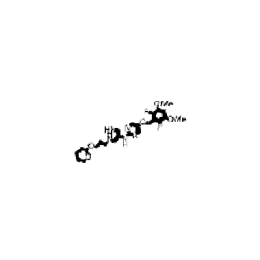 COc1cc(OC)c(F)c(COc2cnc(N/C(C=N)=C/NCCCOC3CCCCO3)nc2)c1F